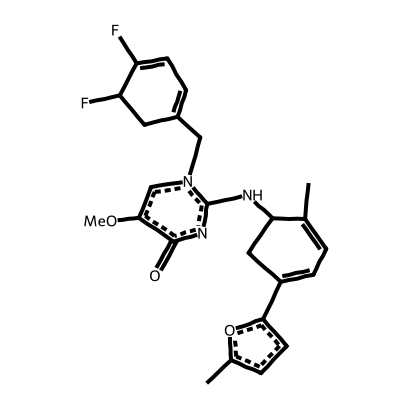 COc1cn(CC2=CC=C(F)C(F)C2)c(NC2CC(c3ccc(C)o3)=CC=C2C)nc1=O